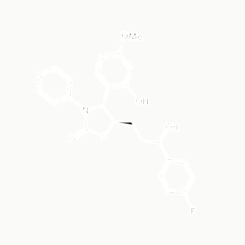 COc1ccc([C@@H]2[C@@H](CC[C@H](O)c3ccc(F)cc3)SC(=O)N2c2ccccc2)c(O)c1